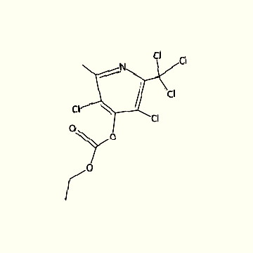 CCOC(=O)Oc1c(Cl)c(C)nc(C(Cl)(Cl)Cl)c1Cl